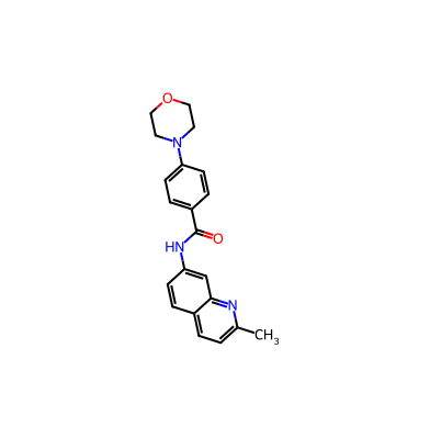 Cc1ccc2ccc(NC(=O)c3ccc(N4CCOCC4)cc3)cc2n1